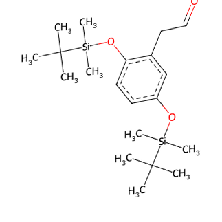 CC(C)(C)[Si](C)(C)Oc1ccc(O[Si](C)(C)C(C)(C)C)c(CC=O)c1